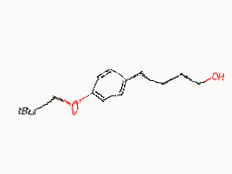 CC(C)(C)COc1ccc(CCCCO)cc1